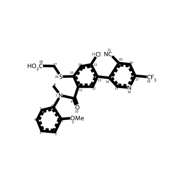 COc1ccccc1N(C)C(=O)c1cc(-c2cnc(C(F)(F)F)cc2C#N)c(Cl)cc1SCC(=O)O